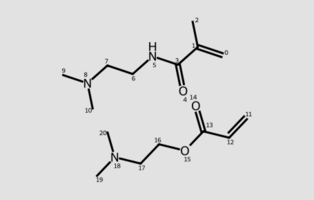 C=C(C)C(=O)NCCN(C)C.C=CC(=O)OCCN(C)C